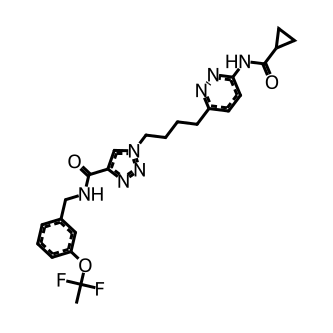 CC(F)(F)Oc1cccc(CNC(=O)c2cn(CCCCc3ccc(NC(=O)C4CC4)nn3)nn2)c1